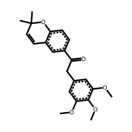 COc1cc(CC(=O)c2ccc3c(c2)C=CC(C)(C)O3)cc(OC)c1OC